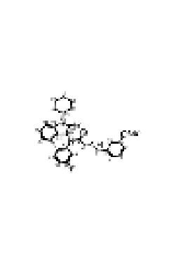 COc1cccc(CNCC(=O)N(c2cccc(F)c2)C2C(=O)N(C3CCCCC3)c3ccccc32)c1